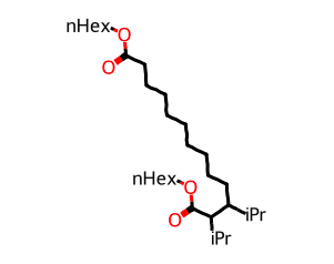 CCCCCCOC(=O)CCCCCCCCCC(C(C)C)C(C(=O)OCCCCCC)C(C)C